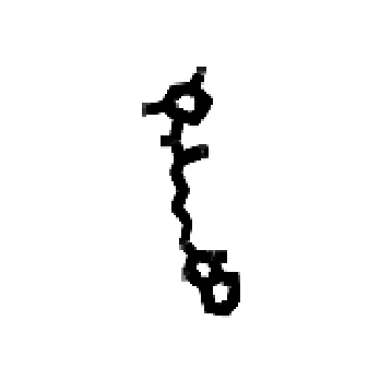 O=C(CCCCSc1nc2ccccc2[nH]1)Nc1ccc(F)cc1F